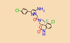 Nc1cc(-c2ccc(Cl)cc2)nn1CC(=O)N1CC[C@@]2(C1)OC(=O)Nc1ccc(Cl)c(F)c12